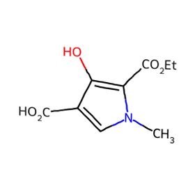 CCOC(=O)c1c(O)c(C(=O)O)cn1C